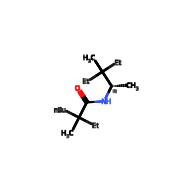 CCCCC(C)(CC)C(=O)N[C@@H](C)C(C)(CC)CC